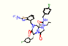 CCCN(C(=O)NCc1ccc(F)cc1)N1CC(=O)N2[C@@H](Cc3ccc(F)cc3)C(=O)N(Cc3cccc4sc(N)nc34)C[C@@H]21